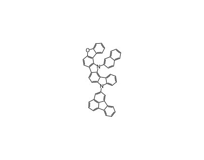 c1ccc2c(c1)-c1cccc3cc(-n4c5ccccc5c5c4ccc4c6ccc7oc8ccccc8c7c6n(-c6ccc7ccccc7c6)c45)cc-2c13